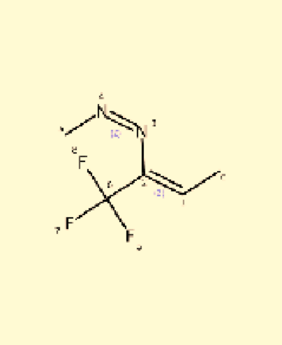 C/C=C(\N=N/C)C(F)(F)F